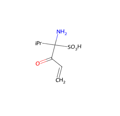 C=CC(=O)C(N)(C(C)C)S(=O)(=O)O